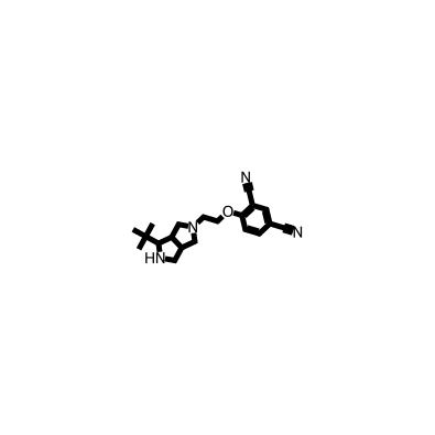 CC(C)(C)C1NCC2CN(CCOc3ccc(C#N)cc3C#N)CC21